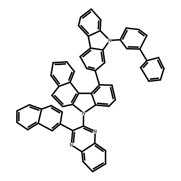 c1ccc(-c2cccc(-n3c4ccccc4c4ccc(-c5cccc6c5c5c7ccccc7ccc5n6-c5nc6ccccc6nc5-c5ccc6ccccc6c5)cc43)c2)cc1